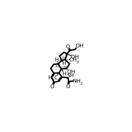 C[C@@]12C(=CC(=O)C=C1C(S)C(N)=O)CC[C@@H]1[C@@H]2[C@@H](O)C[C@@]2(C)[C@H]1CC[C@]2(O)C(=O)CO